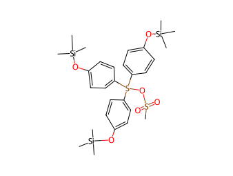 C[Si](C)(C)Oc1ccc(S(OS(C)(=O)=O)(c2ccc(O[Si](C)(C)C)cc2)c2ccc(O[Si](C)(C)C)cc2)cc1